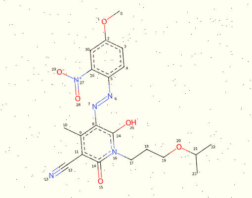 COc1ccc(/N=N/c2c(C)c(C#N)c(=O)n(CCCOC(C)C)c2O)c([N+](=O)[O-])c1